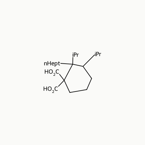 CCCCCCCC1(C(C)C)C(C(C)C)CCCC1(C(=O)O)C(=O)O